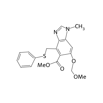 COCOc1cc2c(ncn2C)c(CSc2ccccc2)c1C(=O)OC